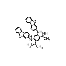 CC(=N)c1cc(C(C)N)c(Nc2ccc3c(c2)oc2ccccc23)cc1Nc1ccc2c(c1)oc1ccccc12